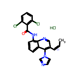 C/C=C\c1cnc2c(NC(=O)c3c(Cl)cccc3Cl)cccc2c1-n1ccnc1.Cl